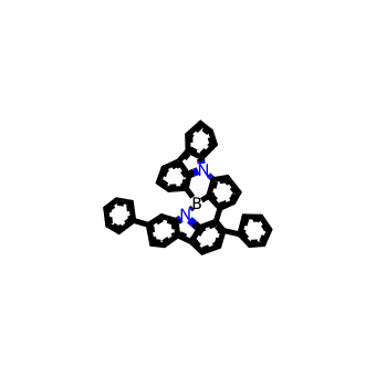 c1ccc(-c2ccc3c4ccc(-c5ccccc5)c5c4n(c3c2)B2c3c-5cccc3-n3c4ccccc4c4cccc2c43)cc1